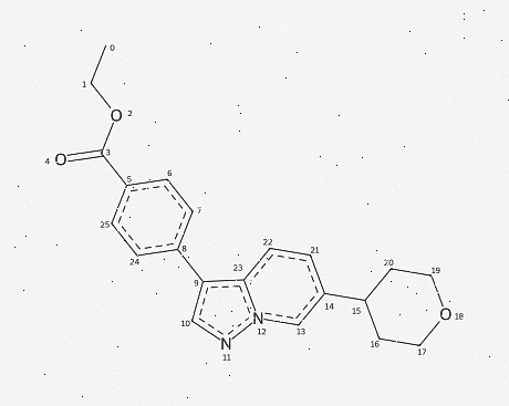 CCOC(=O)c1ccc(-c2cnn3cc(C4CCOCC4)ccc23)cc1